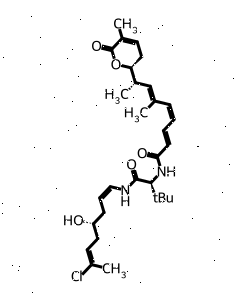 CC1=CC[C@@H]([C@@H](C)/C=C(C)/C=C\C=C\C(=O)N[C@H](C(=O)N/C=C\C[C@@H](O)C/C=C(\C)Cl)C(C)(C)C)OC1=O